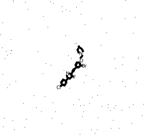 CC1CCN(CCOc2ccc(C#Cc3ncc(-c4ccc(Cl)cc4)cc3F)cc2Br)CC1